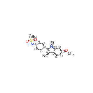 CCCCS(=O)(=O)Nc1ccc(-c2c(C#N)c3ccc(OC(F)(F)F)cc3n2CC)cc1